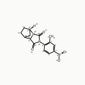 Cc1cc([N+](=O)[O-])ccc1N1C(=O)C2C3CC[C@@H](C3)N2C1=O